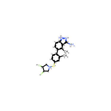 Cc1cc(SN2CC(F)C(F)C2)ccc1-c1ccc2[nH]nc(N)c2c1C